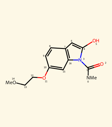 CNC(=O)n1c(O)cc2ccc(OCCOC)cc21